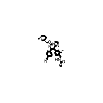 COC(=O)NCc1ccc(-c2c(-c3ccc(C#N)cc3)nc(OC[C@@H]3CCCN(C)C3)n3ccnc23)cc1F